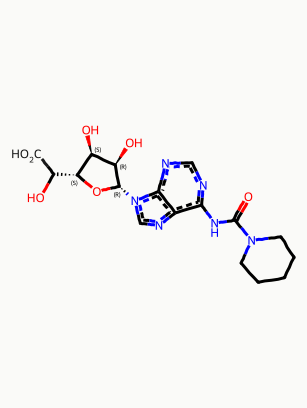 O=C(O)C(O)[C@H]1O[C@@H](n2cnc3c(NC(=O)N4CCCCC4)ncnc32)[C@H](O)[C@@H]1O